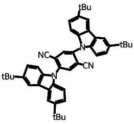 CC(C)(C)c1ccc2c(c1)c1cc(C(C)(C)C)ccc1n2-c1cc(C#N)c(-n2c3ccc(C(C)(C)C)cc3c3cc(C(C)(C)C)ccc32)cc1C#N